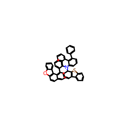 C1=Cc2c(sc3ccccc23)C(N(c2ccccc2-c2cccc3ccc4oc5ccccc5c4c23)c2cccc(-c3ccccc3)c2-c2ccccc2)C1